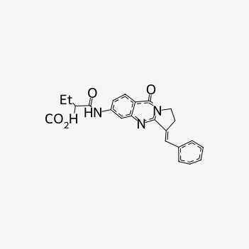 CCC(C(=O)O)C(=O)Nc1ccc2c(=O)n3c(nc2c1)C(=Cc1ccccc1)CC3